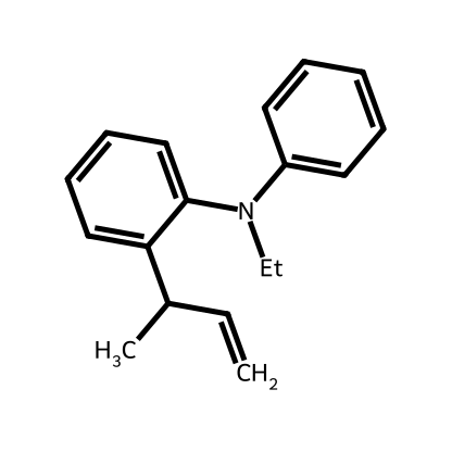 C=CC(C)c1ccccc1N(CC)c1ccccc1